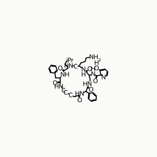 CC(C)CC1NCC(CCCN)NC(=O)C(NC(=O)c2ncccc2O)CNC(=O)C(c2ccccc2)NC(=O)CCCCNC(=O)C(Cc2ccccc2)NC1=O